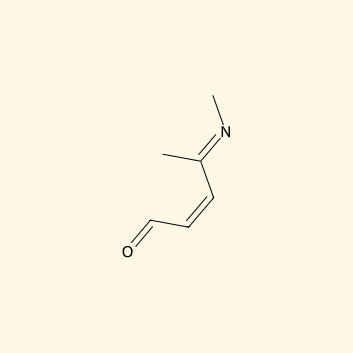 C/N=C(C)/C=C\C=O